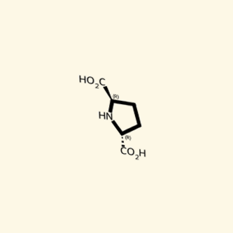 O=C(O)[C@H]1CC[C@H](C(=O)O)N1